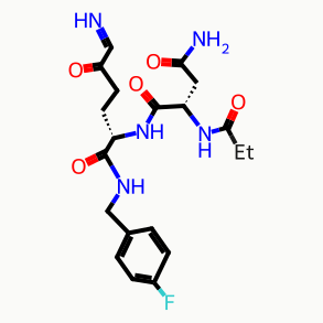 CCC(=O)N[C@@H](CC(N)=O)C(=O)N[C@@H](CCC(=O)C=N)C(=O)NCc1ccc(F)cc1